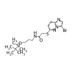 CC(C)(C)[Si](C)(C)OCCCNC(=O)CSc1ccc2ncc(Br)n2n1